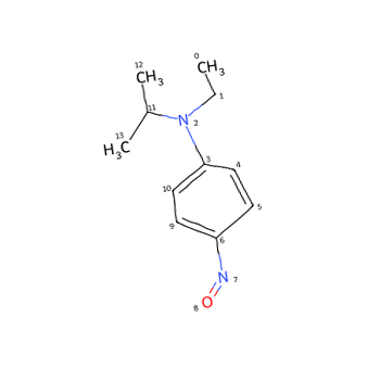 CCN(c1ccc(N=O)cc1)C(C)C